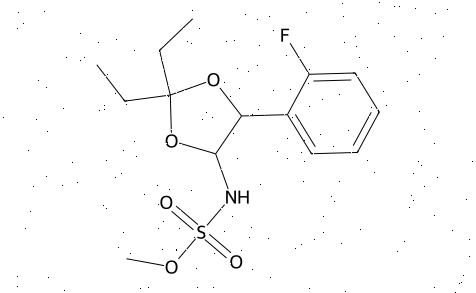 CCC1(CC)OC(NS(=O)(=O)OC)C(c2ccccc2F)O1